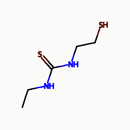 CCNC(=S)NCCS